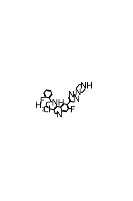 CC(Nc1c(Cl)cnc2cc(F)c(-c3cnc(N4CCNCC4)nc3)cc12)c1ccccc1F